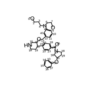 COCCCN1CCOc2ccc(COC3CNCCC3c3ccc(C(=O)N4CCC(Oc5ccccc5)C4)cc3)cc21